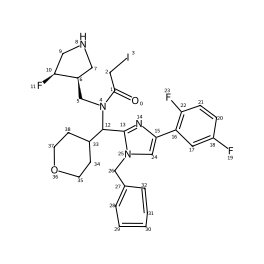 O=C(CI)N(C[C@@H]1CNC[C@@H]1F)C(c1nc(-c2cc(F)ccc2F)cn1Cc1ccccc1)C1CCOCC1